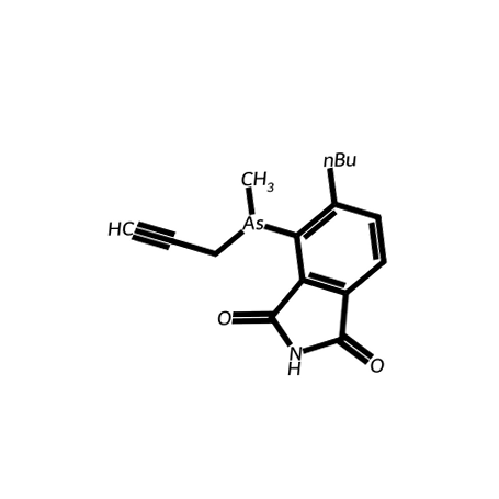 C#CC[As](C)c1c(CCCC)ccc2c1C(=O)NC2=O